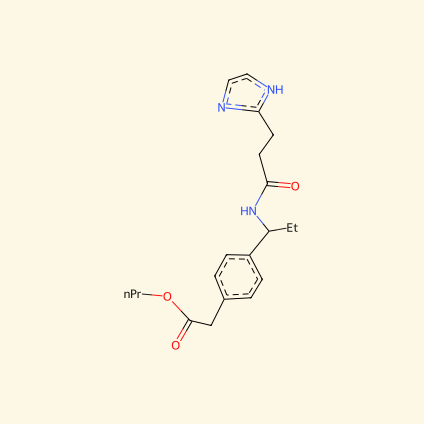 CCCOC(=O)Cc1ccc(C(CC)NC(=O)CCc2ncc[nH]2)cc1